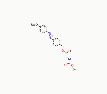 COc1ccc(/N=N/c2ccc(COC(=O)CNC(=O)OC(C)(C)C)cc2)cc1